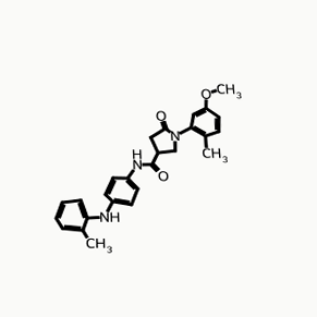 COc1ccc(C)c(N2CC(C(=O)Nc3ccc(Nc4ccccc4C)cc3)CC2=O)c1